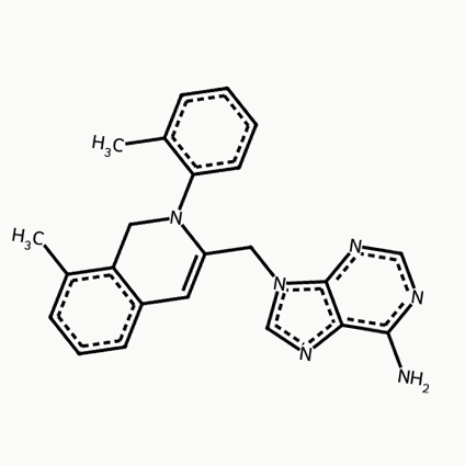 Cc1ccccc1N1Cc2c(C)cccc2C=C1Cn1cnc2c(N)ncnc21